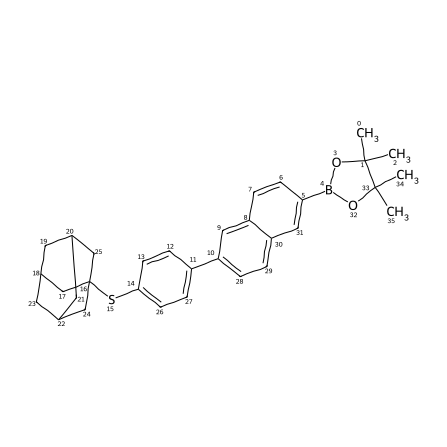 CC1(C)OB(c2ccc3cc(-c4ccc(SC56CC7CC(CC(C7)C5)C6)cc4)ccc3c2)OC1(C)C